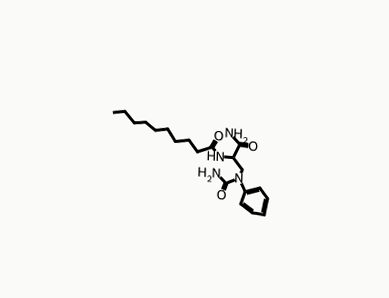 CCCCCCCCCC(=O)NC(CN(C(N)=O)c1ccccc1)C(N)=O